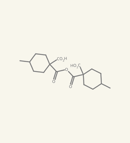 CC1CCC(C(=O)O)(C(=O)OC(=O)C2(C(=O)O)CCC(C)CC2)CC1